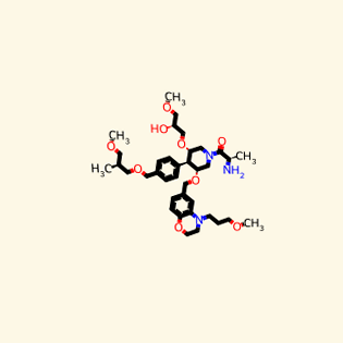 COCCCN1CCOc2ccc(CO[C@H]3CN(C(=O)[C@H](C)N)C[C@@H](OC[C@H](O)COC)[C@@H]3c3ccc(COC[C@@H](C)COC)cc3)cc21